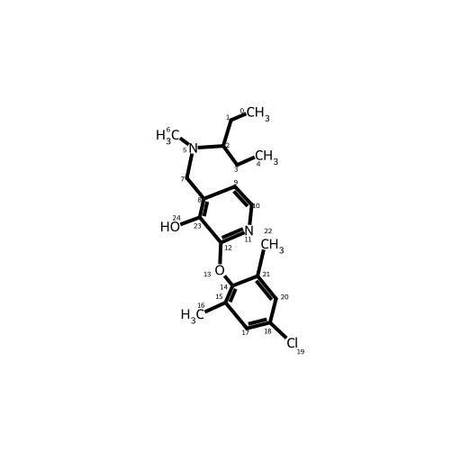 CCC(CC)N(C)Cc1ccnc(Oc2c(C)cc(Cl)cc2C)c1O